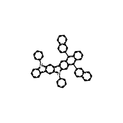 c1ccc(-n2c3ccccc3c3cc4c(cc32)c2cc3c(-c5ccc6ccccc6c5)c5ccccc5c(-c5ccc6ccccc6c5)c3cc2n4-c2ccccc2)cc1